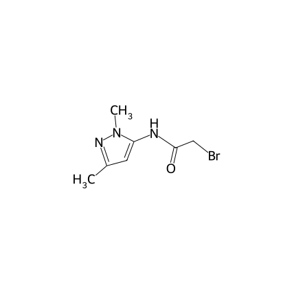 Cc1cc(NC(=O)CBr)n(C)n1